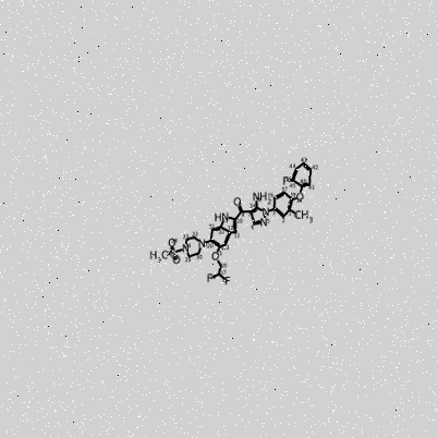 Cc1cc(-n2ncc(C(=O)c3cc4cc(OCC(F)F)c(N5CCN(S(C)(=O)=O)CC5)cc4[nH]3)c2N)ccc1Oc1ccccc1F